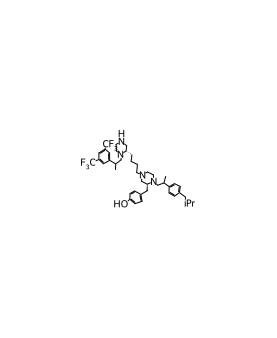 CC(C)Cc1ccc(C(C)CN2CCN(CCCC[C@H]3CNCCN3CC(C)c3cc(C(F)(F)F)cc(C(F)(F)F)c3)C[C@@H]2Cc2ccc(O)cc2)cc1